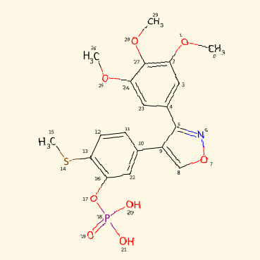 COc1cc(-c2nocc2-c2ccc(SC)c(OP(=O)(O)O)c2)cc(OC)c1OC